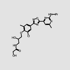 Cc1cc(-c2nc(-c3cc(C)c(OCC(O)CNC(=O)CO)c(Cl)c3)no2)nc(NC(C)C)n1